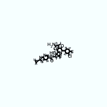 C[C@]1(C(N)=O)COc2c1cc([C@@](O)(CNC(=O)c1cnc3nc(C4CC4)sc3c1)C(F)(F)F)nc2-c1ccc(F)c(Cl)c1